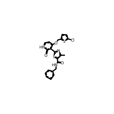 Cc1nc(-c2c(OCc3ccc(Cl)s3)cc[nH]c2=O)sc1C(=O)NCc1ccccc1